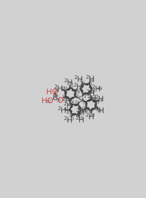 [2H]c1cc([Si](c2c([2H])c([2H])c([2H])c([2H])c2[2H])(c2c([2H])c([2H])c([2H])c([2H])c2[2H])c2c([2H])c([2H])c([2H])c(OB(O)O)c2[2H])c([2H])c([2H])c1[2H]